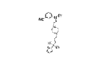 CC(C)N(CCN1CCN(CCCC(C#N)(c2cccs2)C(C)C)CC1)c1cccc(C#N)c1